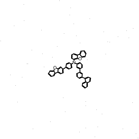 c1cc(-c2cccc(N(c3ccc(-c4ccc5c(c4)oc4ccccc45)cc3)c3cccc4c3oc3ccccc34)c2)cc(-c2cccc3ccccc23)c1